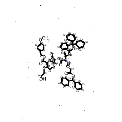 COc1ccc(COC(=O)C2=C(SCCO)CS[C@H]3[C@H](NC(=O)/C(=N\OCC(=O)OC(c4ccccc4)c4ccccc4)c4csc(NC(c5ccccc5)(c5ccccc5)c5ccccc5)n4)C(=O)N23)cc1